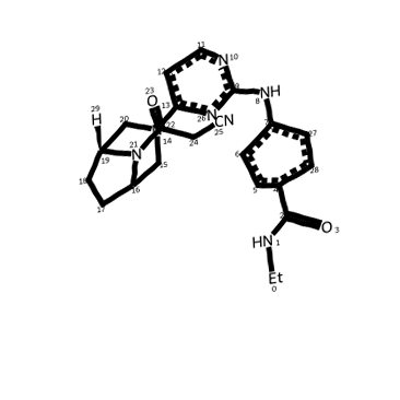 CCNC(=O)c1ccc(Nc2nccc(N3CC4CC[C@H](C3)N4C(=O)CC#N)n2)cc1